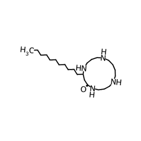 CCCCCCCCCCCC1CC(=O)NCCCNCCCCNCCCN1